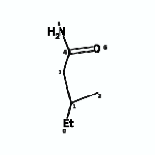 [CH2]CC(C)CC(N)=O